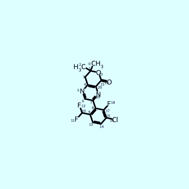 CC1(C)Cc2ncc(-c3c(C(F)F)ccc(Cl)c3F)nc2C(=O)O1